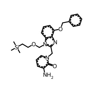 C[Si](C)(C)CCOCn1c(Cn2cccc(N)c2=O)nc2c(OCc3ccccc3)cccc21